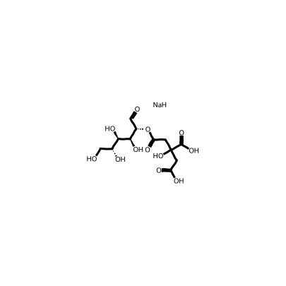 O=C[C@H](OC(=O)CC(O)(CC(=O)O)C(=O)O)[C@@H](O)[C@H](O)[C@H](O)CO.[NaH]